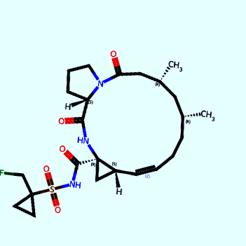 C[C@@H]1CC/C=C\[C@@H]2C[C@@]2(C(=O)NS(=O)(=O)C2(CF)CC2)NC(=O)[C@@H]2CCCN2C(=O)C[C@H](C)C1